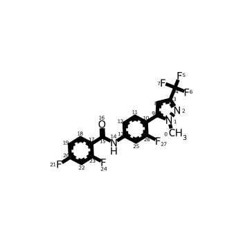 Cn1nc(C(F)(F)F)cc1-c1ccc(NC(=O)c2ccc(F)cc2F)cc1F